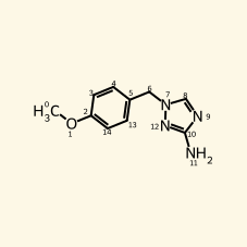 COc1ccc(Cn2cnc(N)n2)cc1